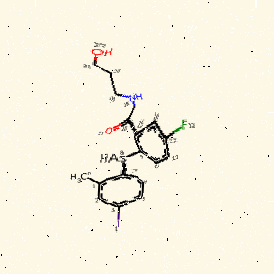 Cc1cc(I)ccc1[AsH]c1ccc(F)cc1C(=O)NCCCO